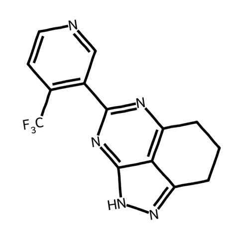 FC(F)(F)c1ccncc1-c1nc2c3c(n[nH]c3n1)CCC2